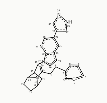 O=C(CCc1ccccc1)N1C2CCC1C(Cn1ccc3cc(-c4cn[nH]c4)cnc31)C2